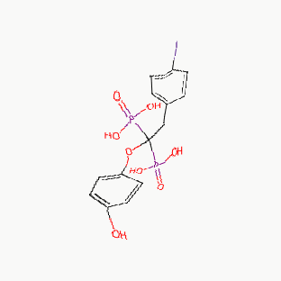 O=P(O)(O)C(Cc1ccc(I)cc1)(Oc1ccc(O)cc1)P(=O)(O)O